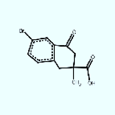 CC1(C(=O)O)CC(=O)c2cc(Br)ccc2C1